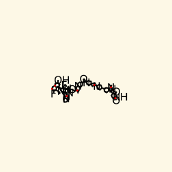 C#Cc1c(F)ccc2cc(O)cc(-c3ncc4c(N5CC6CCC(C5)N6)nc(OCC5(CN6CCC(C(=O)N7CCC8(CC7)CC(N7CCC(c9ccc%10c(C%11CCC(=O)NC%11=O)nn(C)c%10c9)CC7)C8)CC6)CC5)nc4c3F)c12